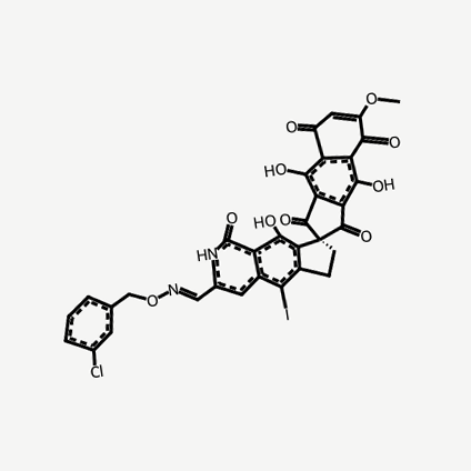 COC1=CC(=O)c2c(O)c3c(c(O)c2C1=O)C(=O)[C@]1(CCc2c1c(O)c1c(=O)[nH]c(C=NOCc4cccc(Cl)c4)cc1c2I)C3=O